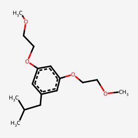 COCCOc1cc(CC(C)C)cc(OCCOC)c1